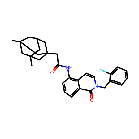 CC12CC3CC(C)(C1)CC(CC(=O)Nc1cccc4c(=O)n(Cc5ccccc5F)ccc14)(C3)C2